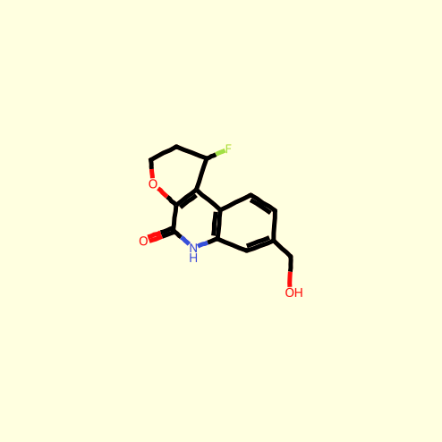 O=c1[nH]c2cc(CO)ccc2c2c1OCCC2F